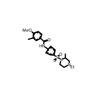 CCN1CCN(S(=O)(=O)c2ccc(NC(=O)c3ccc(OC)c(C)c3)cc2)C(C)C1